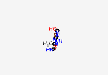 Cc1cc(Nc2cc3nc(N4CCC[C@@H](O)C4)sc3cn2)nc(O[C@H]2CCNC2)c1